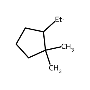 C[CH]C1CCCC1(C)C